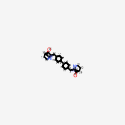 O=C1/C(=C/c2ccc(-c3ccc(/C=C4/C(=O)C5CCN4CC5)cc3)cc2)N2CCC1CC2